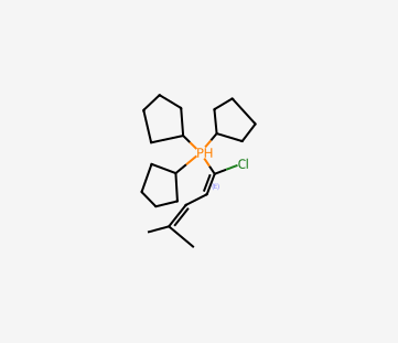 CC(C)=C/C=C(/Cl)[PH](C1CCCC1)(C1CCCC1)C1CCCC1